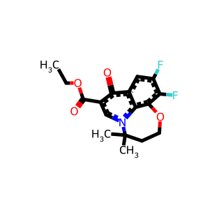 CCOC(=O)c1cn2c3c(c(F)c(F)cc3c1=O)OCCC2(C)C